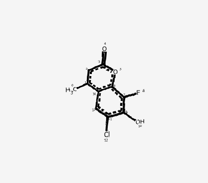 Cc1cc(=O)oc2c(F)c(O)c(Cl)cc12